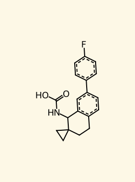 O=C(O)NC1c2cc(-c3ccc(F)cc3)ccc2CCC12CC2